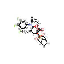 C=C(/C=C(\C)S(=O)(=O)C1C2CCC1CC(=CC(=O)OCC)C2)C(=O)N(C)c1cc(F)c(F)c(F)c1